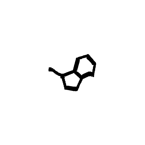 Brn1ccc2ncccc21